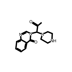 CC(=O)C(N1CCNCC1)n1cnc2ccccc2c1=O